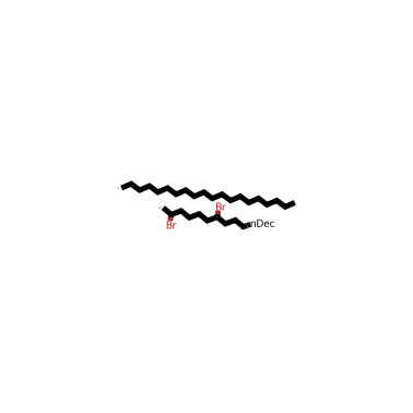 [CH2]C(Br)CCCCC(Br)CCCCCCCCCCCCC.[CH2]CCCCCCCCCCCCCCCCCCC